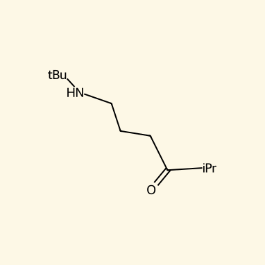 CC(C)C(=O)CCCNC(C)(C)C